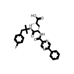 C[C@@H](C[C@H](NC(=O)c1cnc(-c2ccccc2)cn1)C(=O)NC(C)(C)Cc1ccc(F)cc1)C(=O)O